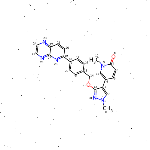 Cn1cc(-c2ccc(=O)n(C)c2)c(OCc2ccc(-c3ccc4nccnc4n3)cc2)n1